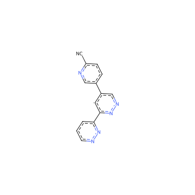 N#Cc1ccc(-c2[c]c(-c3cccnn3)nnc2)cn1